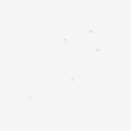 Cc1ccc(-c2cnc(C(C)C)s2)c(Cl)c1